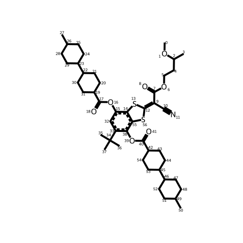 COC(C)CCOC(=O)/C(C#N)=C1\Sc2c(OC(=O)C3CCC(C4CCC(C)CC4)CC3)cc(C(C)(C)C)c(OC(=O)C3CCC(C4CCC(C)CC4)CC3)c2S1